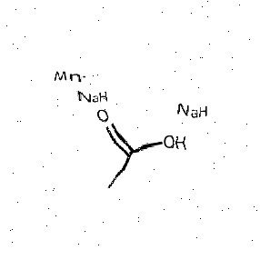 CC(=O)O.[Mn].[NaH].[NaH]